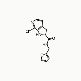 O=C(NCc1ccco1)C1Cc2ccnc(Cl)c2N1